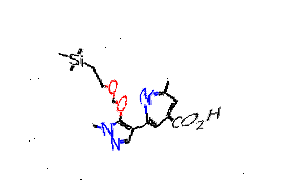 Cc1cc(C(=O)O)cc(-c2cnn(C)c2OCOCC[Si](C)(C)C)n1